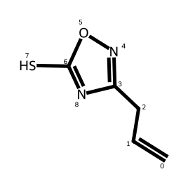 C=CCc1noc(S)n1